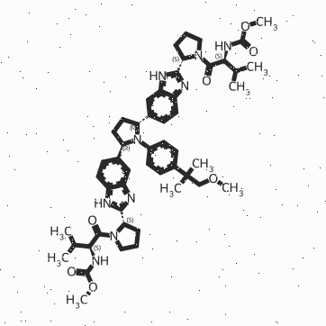 COCC(C)(C)c1ccc(N2[C@@H](c3ccc4[nH]c([C@@H]5CCCN5C(=O)[C@@H](NC(=O)OC)C(C)C)nc4c3)CC[C@@H]2c2ccc3nc([C@@H]4CCCN4C(=O)[C@@H](NC(=O)OC)C(C)C)[nH]c3c2)cc1